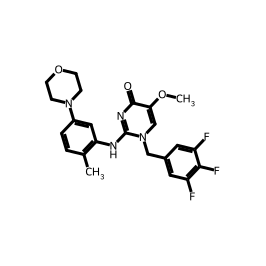 COc1cn(Cc2cc(F)c(F)c(F)c2)c(Nc2cc(N3CCOCC3)ccc2C)nc1=O